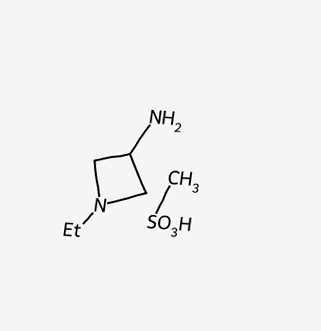 CCN1CC(N)C1.CS(=O)(=O)O